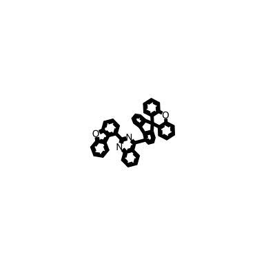 c1ccc2c(c1)Oc1ccccc1C21c2ccccc2-c2c(-c3nc(-c4cccc5oc6ccccc6c45)nc4ccccc34)cccc21